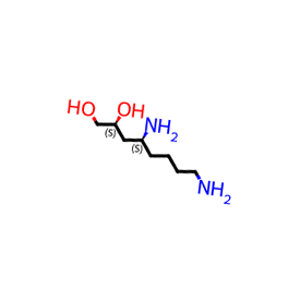 NCCCC[C@H](N)C[C@H](O)CO